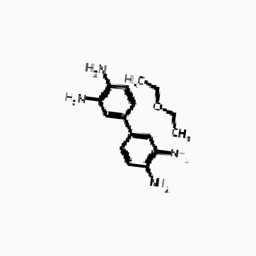 CCOCC.Nc1ccc(-c2ccc(N)c(N)c2)cc1N